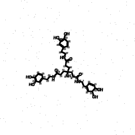 NC(CCC(=O)NCCC1=CC(O)C(O)C=C1)(CCC(=O)NCCc1ccc(O)c(O)c1)CCC(=O)NCCc1ccc(O)c(O)c1